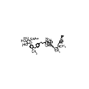 CS[C@H]1O[C@@H](c2ccc(C)c(Cc3ccc(CCCC(=O)NC(C)(C)C(=O)NCCN(C)CC(=O)N(C)Cc4cn(C5CC5)nn4)cc3)c2)[C@H](O)[C@@H](O)[C@@H]1O